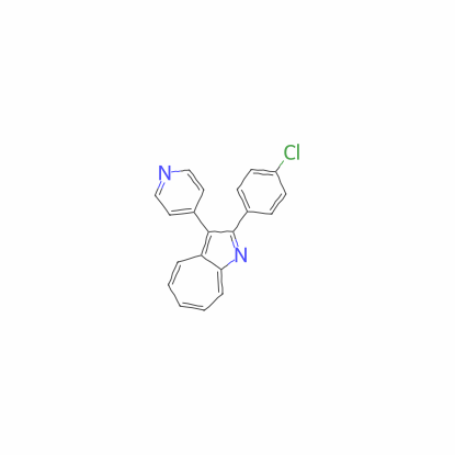 Clc1ccc(-c2nc3cccccc-3c2-c2ccncc2)cc1